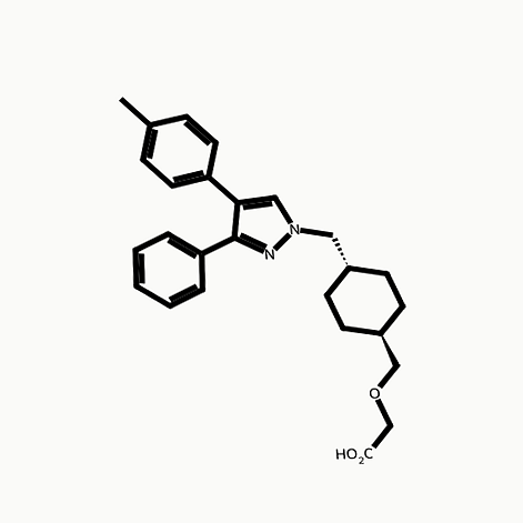 Cc1ccc(-c2cn(C[C@H]3CC[C@H](COCC(=O)O)CC3)nc2-c2ccccc2)cc1